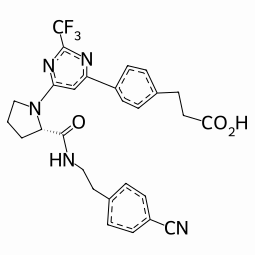 N#Cc1ccc(CCNC(=O)[C@@H]2CCCN2c2cc(-c3ccc(CCC(=O)O)cc3)nc(C(F)(F)F)n2)cc1